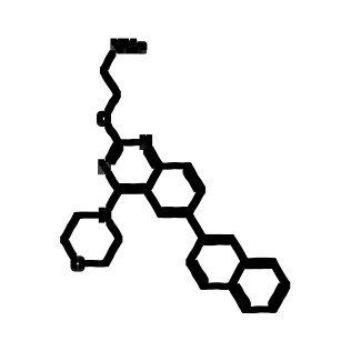 CNCCOc1nc(N2CCOCC2)c2cc(-c3ccc4ccccc4c3)ccc2n1